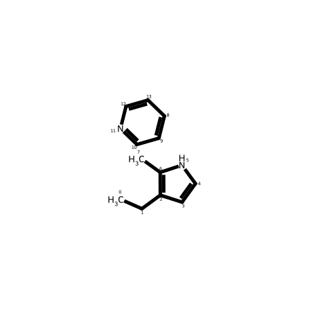 CCc1cc[nH]c1C.c1ccncc1